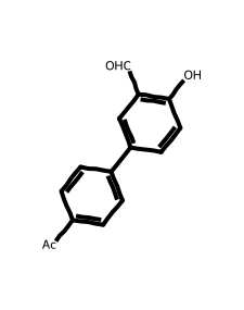 CC(=O)c1ccc(-c2ccc(O)c(C=O)c2)cc1